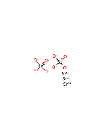 [O]=[Sb]([O-])([O-])[O-].[O]=[Sb]([O-])([O-])[O-].[Sr+2].[Sr+2].[Sr+2]